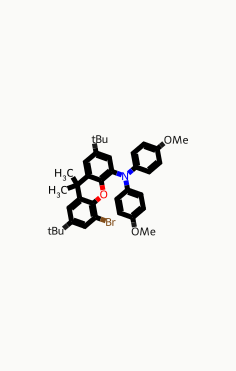 COc1ccc(N(c2ccc(OC)cc2)c2cc(C(C)(C)C)cc3c2Oc2c(Br)cc(C(C)(C)C)cc2C3(C)C)cc1